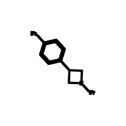 CC(C)c1ccc(C2CN(C(C)C)C2)cc1